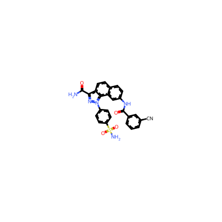 N#Cc1cccc(C(=O)Nc2ccc3ccc4c(C(N)=O)nn(-c5ccc(S(N)(=O)=O)cc5)c4c3c2)c1